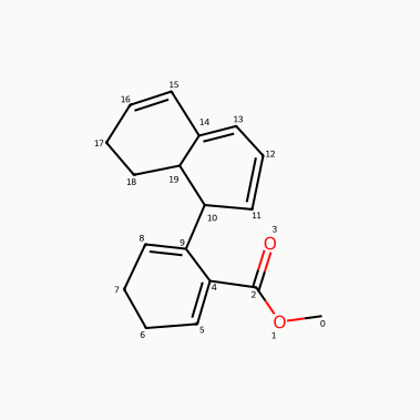 COC(=O)C1=CCCC=C1C1C=CC=C2C=CCCC21